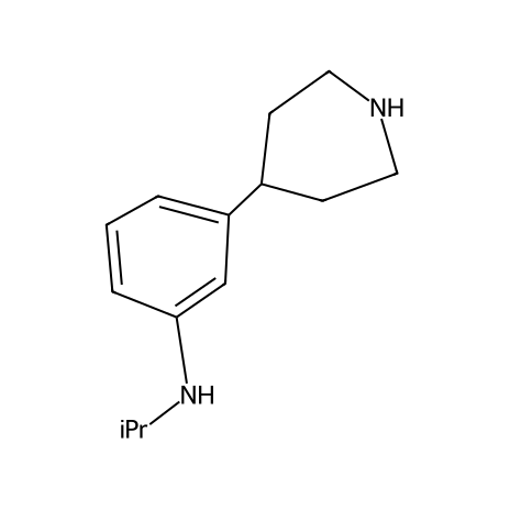 CC(C)Nc1cccc(C2CCNCC2)c1